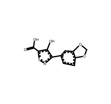 O=C(O)c1snc(-c2ccc3c(c2)OCO3)c1O